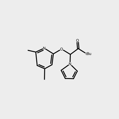 Cc1cc(C)nc(OC(C(=O)C(C)(C)C)n2cccc2)c1